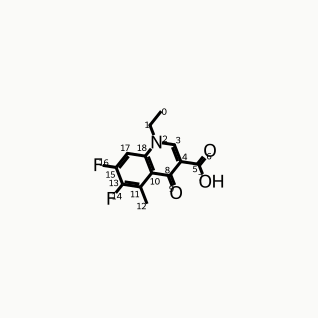 CCn1cc(C(=O)O)c(=O)c2c(C)c(F)c(F)cc21